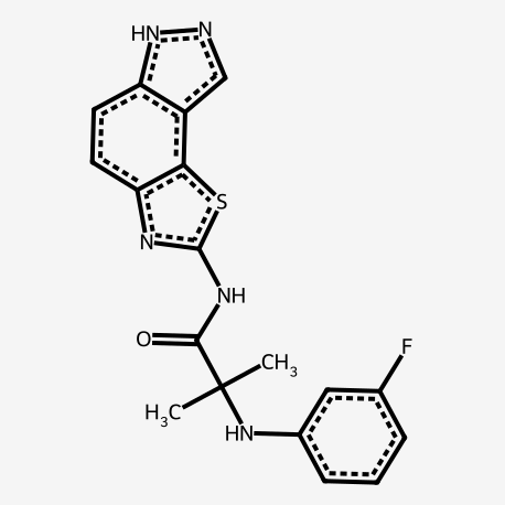 CC(C)(Nc1cccc(F)c1)C(=O)Nc1nc2ccc3[nH]ncc3c2s1